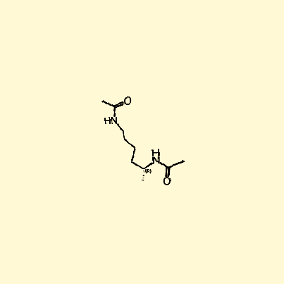 CC(=O)NCCCC[C@@H](C)NC(C)=O